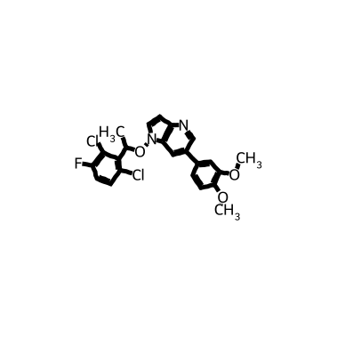 COc1ccc(-c2cnc3ccn(OC(C)c4c(Cl)ccc(F)c4Cl)c3c2)cc1OC